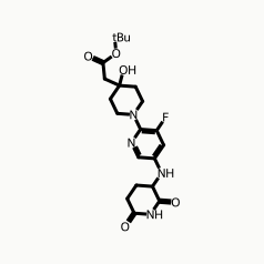 CC(C)(C)OC(=O)CC1(O)CCN(c2ncc(NC3CCC(=O)NC3=O)cc2F)CC1